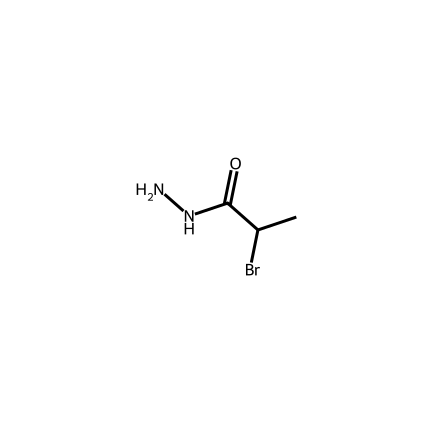 CC(Br)C(=O)NN